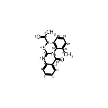 CC(=O)CSc1nc2ccccc2c(=O)n1-c1ccccc1C